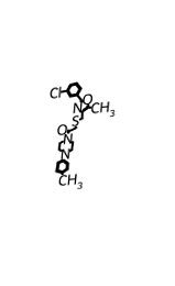 Cc1ccc(N2CCN(C(=O)CSCc3nc(-c4cccc(Cl)c4)oc3C)CC2)cc1